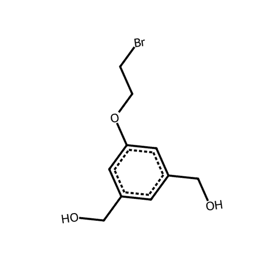 OCc1cc(CO)cc(OCCBr)c1